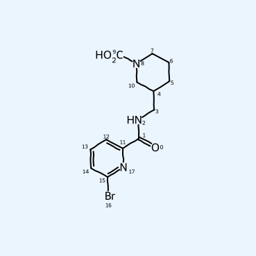 O=C(NCC1CCCN(C(=O)O)C1)c1cccc(Br)n1